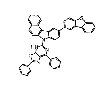 c1ccc(C2=NC3=C(c4ccccc4)N=C(n4c5ccc(-c6ccc7sc8ccccc8c7c6)cc5c5c6ccccc6ccc54)NC3O2)cc1